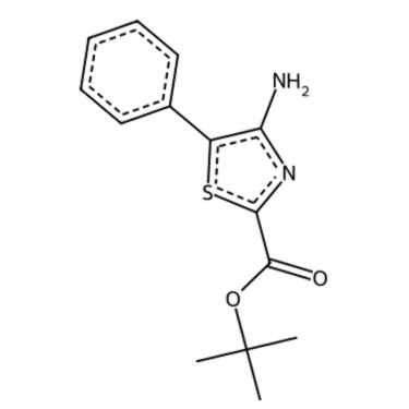 CC(C)(C)OC(=O)c1nc(N)c(-c2ccccc2)s1